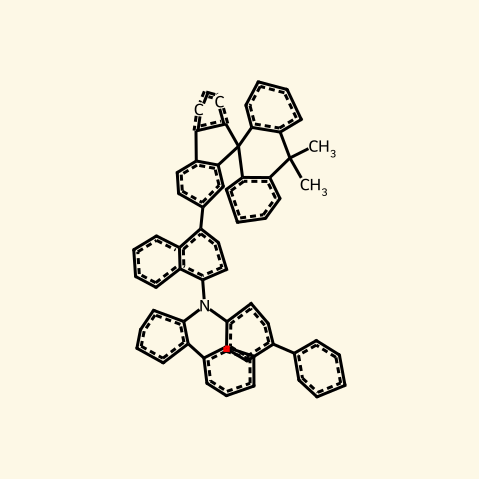 CC1(C)c2ccccc2C2(c3ccccc3-c3ccc(-c4ccc(N(c5ccc(-c6ccccc6)cc5)c5ccccc5-c5ccccc5)c5ccccc45)cc32)c2ccccc21